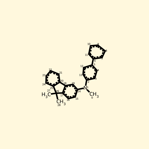 CN(c1ccc(-c2ccccc2)cc1)c1ccc2c(c1)-c1ccccc1C2(C)C